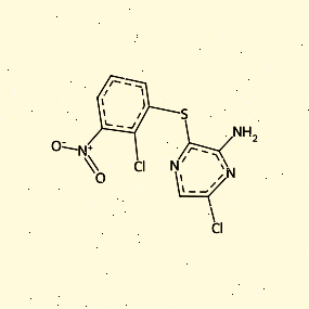 Nc1nc(Cl)cnc1Sc1cccc([N+](=O)[O-])c1Cl